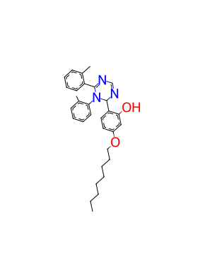 CCCCCCCCOc1ccc(C2N=CN=C(c3ccccc3C)N2c2ccccc2C)c(O)c1